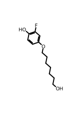 OCCCCCCCOc1ccc(O)c(F)c1